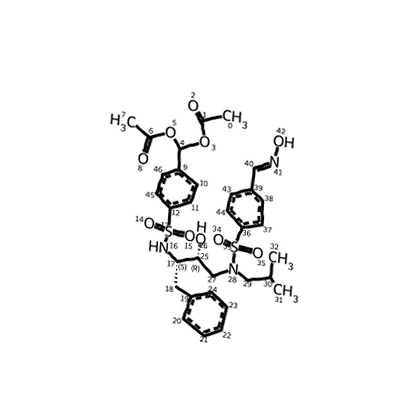 CC(=O)OC(OC(C)=O)c1ccc(S(=O)(=O)N[C@@H](Cc2ccccc2)[C@H](O)CN(CC(C)C)S(=O)(=O)c2ccc(C=NO)cc2)cc1